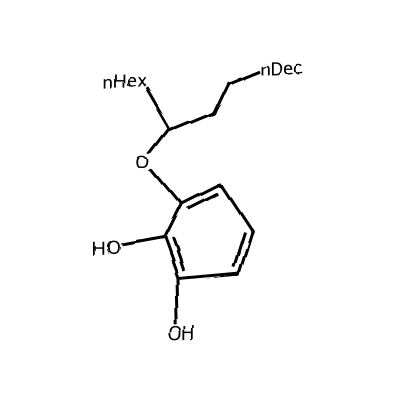 CCCCCCCCCCCCC(CCCCCC)Oc1cccc(O)c1O